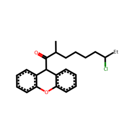 CCC(Cl)CCCCC(C)C(=O)C1c2ccccc2Oc2ccccc21